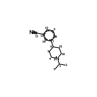 CC(C)N1CCC(c2cccc(C#N)c2)CC1